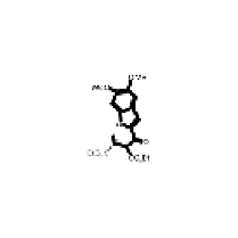 CCOC(=O)C(C(=O)c1cc2cc(OC)c(OC)cc2[se]1)[C@@H](C)C(=O)OCC